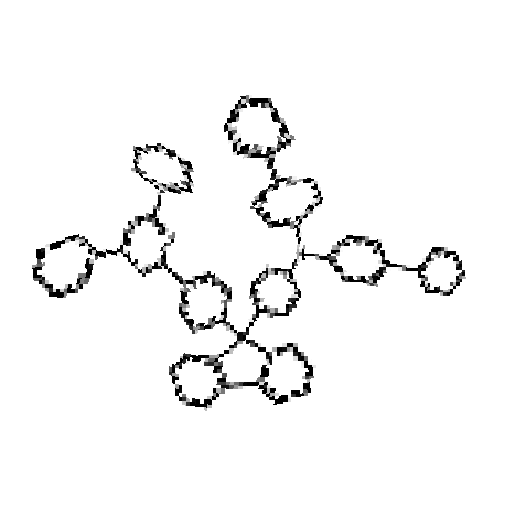 c1ccc(-c2ccc(N(c3ccc(-c4ccccc4)cc3)c3ccc(C4(c5ccc(-c6nc(-c7ccccc7)cc(-c7ccccc7)n6)cc5)c5ccccc5-c5ccccc54)cc3)cc2)cc1